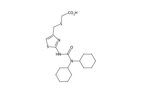 O=C(O)CSCc1csc(NC(=O)N(C2CCCCC2)C2CCCCC2)n1